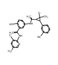 C=C(Nc1ncc(C)cc1F)c1cc(NC(=C)C2C(c3cccc(C#N)c3)C2(C)Cl)ccc1O